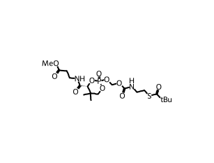 COC(=O)CCNC(=O)[C@@H]1OP(=O)(OCOC(=O)NCCSC(=O)C(C)(C)C)OCC1(C)C